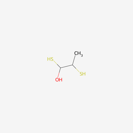 CC(S)C(O)S